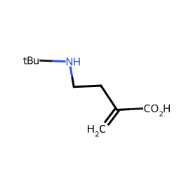 C=C(CCNC(C)(C)C)C(=O)O